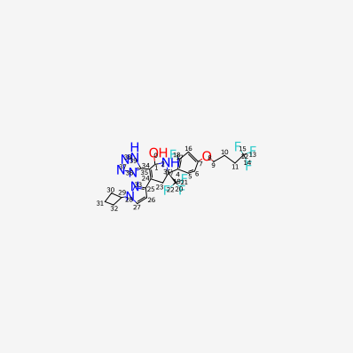 OC1N[C@@](c2ccc(OCCCC(F)(F)F)cc2F)(C(F)(F)F)CC(c2ccn(C3CCC3)n2)=C1c1nnn[nH]1